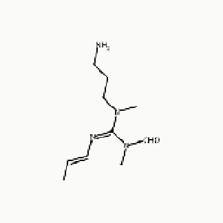 C/C=C/N=C(\N(C)C=O)N(C)CCCN